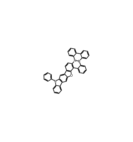 c1ccc(-n2c3ccccc3c3cc4oc5c6c(ccc5c4cc32)N2B(c3ccccc3-c3ccccc32)c2ccccc2-6)cc1